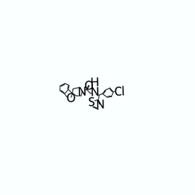 O=C(CNC(c1ccc(Cl)cc1)c1nccs1)N1CCC2(CC1)OCc1ccccc12